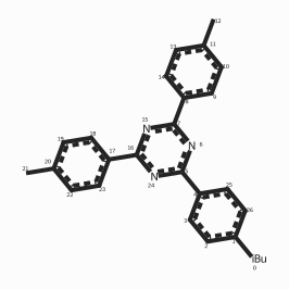 CCC(C)c1ccc(-c2nc(-c3ccc(C)cc3)nc(-c3ccc(C)cc3)n2)cc1